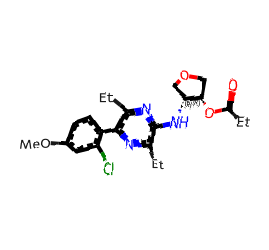 CCC(=O)O[C@H]1COC[C@H]1Nc1nc(CC)c(-c2ccc(OC)cc2Cl)nc1CC